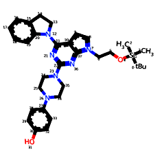 CC(C)(C)[Si](C)(C)OCCn1ccc2c(N3CCc4ccccc43)nc(N3CCN(c4ccc(O)cc4)CC3)nc21